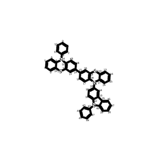 c1ccc(N2c3ccccc3Sc3cc(-c4ccc5c(c4)Sc4ccccc4N5c4ccc5c(c4)c4ccccc4n5-c4ccccc4)ccc32)cc1